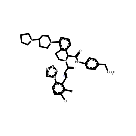 O=C(O)Cc1ccc(NC(=O)C2c3cccc(N4CCC(N5CCCC5)CC4)c3CCN2C(=O)/C=C/c2c(-n3cnnn3)ccc(Cl)c2F)cc1